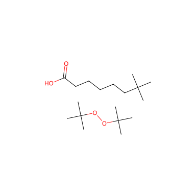 CC(C)(C)CCCCCC(=O)O.CC(C)(C)OOC(C)(C)C